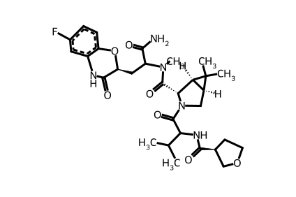 CC(C)C(NC(=O)[C@H]1CCOC1)C(=O)N1C[C@H]2[C@@H]([C@H]1C(=O)N(C)C(C[C@@H]1Oc3ccc(F)cc3NC1=O)C(N)=O)C2(C)C